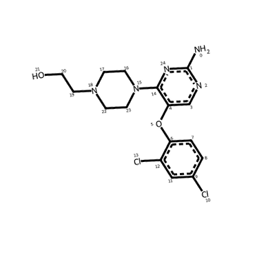 Nc1ncc(Oc2ccc(Cl)cc2Cl)c(N2CCN(CCO)CC2)n1